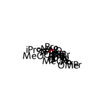 COCCn1c(-c2ccc(C(C)C)cc2)nc2c(Br)c(CNC(=O)C(N)(c3ccccc3CCS(C)(=O)=O)c3ccccc3NCc3cc(OC)c4c(nc(-c5ccc(C(C)C)cc5)n4CCOC)c3Br)cc(OC)c21